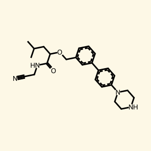 CC(C)CC(OCc1cccc(-c2ccc(N3CCNCC3)cc2)c1)C(=O)NCC#N